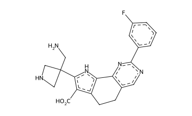 NCC1(c2[nH]c3c(c2C(=O)O)CCc2cnc(-c4cccc(F)c4)nc2-3)CNC1